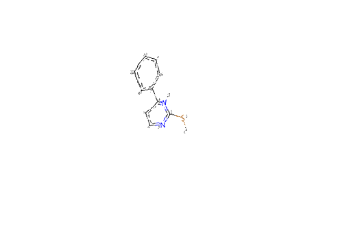 CSc1nccc(-c2[c]cccc2)n1